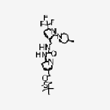 CC1CCN(c2nc(C(F)(F)F)ccc2CNC(=O)Nc2ccc(CO[Si](C)(C)C(C)(C)C)cn2)CC1